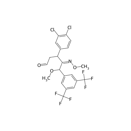 CON=C(C(CC=O)c1ccc(Cl)c(Cl)c1)C(OC)c1cc(C(F)(F)F)cc(C(F)(F)F)c1